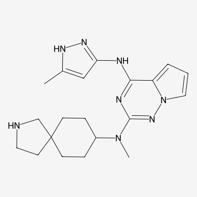 Cc1cc(Nc2nc(N(C)C3CCC4(CCNC4)CC3)nn3cccc23)n[nH]1